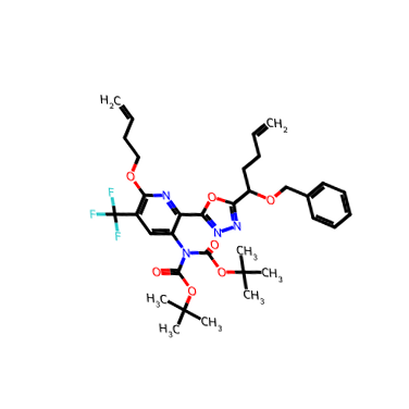 C=CCCOc1nc(-c2nnc(C(CCC=C)OCc3ccccc3)o2)c(N(C(=O)OC(C)(C)C)C(=O)OC(C)(C)C)cc1C(F)(F)F